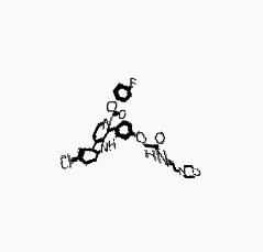 O=C(COc1ccc(C2C3=C(CCN2C(=O)Oc2ccc(F)cc2)C2C=C(Cl)C=CC2N3)cc1)NCCN1CCOCC1